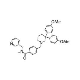 COc1ccc(C2(c3ccc(OC)cc3)CCCN(Cc3ccc(C(=O)N(C)Cc4cccnc4)cc3)C2)cc1